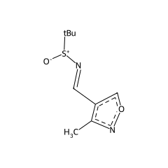 Cc1nocc1C=N[S+]([O-])C(C)(C)C